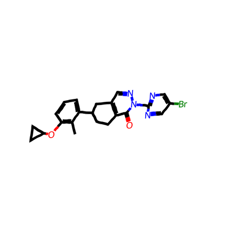 Cc1c(OC2CC2)cccc1C1CCc2c(cnn(-c3ncc(Br)cn3)c2=O)C1